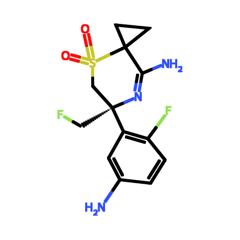 NC1=N[C@@](CF)(c2cc(N)ccc2F)CS(=O)(=O)C12CC2